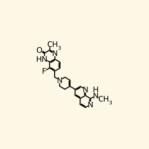 CNc1nccc2cc(C3=CCN(Cc4ccc5nc(C)c(=O)[nH]c5c4F)CC3)cnc12